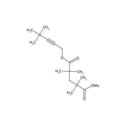 COC(=O)C(C)(C)CC(C)(C)C(=O)OCC#C[Si](C)(C)C